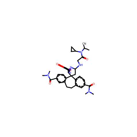 CC(C#N)N(C(=O)CNC1CC2(c3ccc(C(=O)N(C)C)cc3CCc3cc(C(=O)N(C)C)ccc32)c2nc(=O)on21)C1CC1